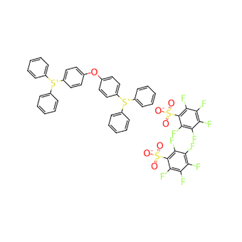 O=S(=O)([O-])c1c(F)c(F)c(F)c(F)c1F.O=S(=O)([O-])c1c(F)c(F)c(F)c(F)c1F.c1ccc([S+](c2ccccc2)c2ccc(Oc3ccc([S+](c4ccccc4)c4ccccc4)cc3)cc2)cc1